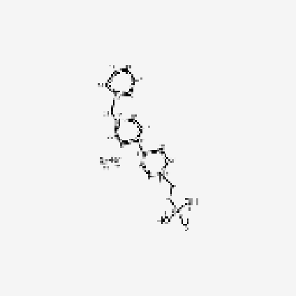 O=P(O)(O)CC[n+]1ccc(-c2cc[n+](Cc3ccccc3)cc2)cc1.[Br-].[Br-]